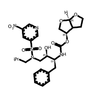 CC(C)CN(C[C@@H](O)[C@H](Cc1ccccc1)NC(=O)O[C@H]1CO[C@H]2OCCC21)S(=O)(=O)c1cncc([N+](=O)[O-])c1